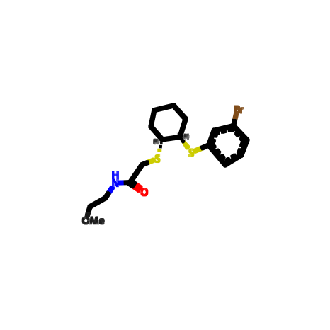 COCCNC(=O)CS[C@@H]1CCCC[C@H]1Sc1cccc(Br)c1